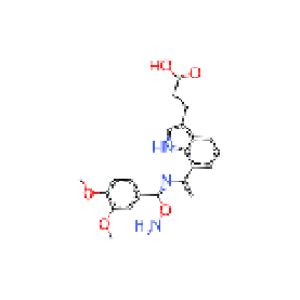 C=C(/N=C(\ON)c1ccc(OC)c(OC)c1)c1cccc2c(CCC(=O)O)c[nH]c12